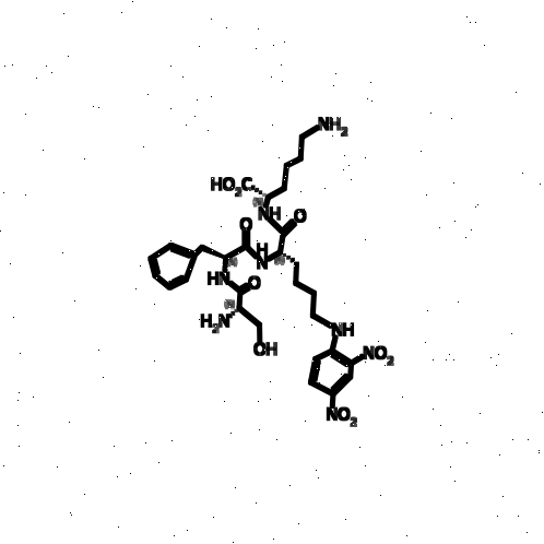 NCCCC[C@H](NC(=O)[C@H](CCCCNc1ccc([N+](=O)[O-])cc1[N+](=O)[O-])NC(=O)[C@H](Cc1ccccc1)NC(=O)[C@@H](N)CO)C(=O)O